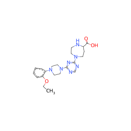 CCOc1ccccc1N1CCN(c2ncnc(N3CCNC(C(=O)O)CC3)n2)CC1